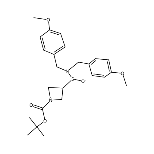 COc1ccc(CN(Cc2ccc(OC)cc2)[S+]([O-])C2CN(C(=O)OC(C)(C)C)C2)cc1